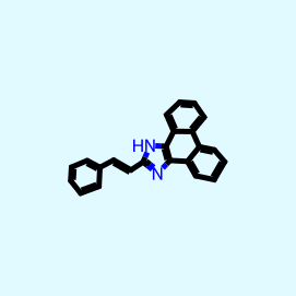 C(=C\c1nc2c3ccccc3c3ccccc3c2[nH]1)/c1ccccc1